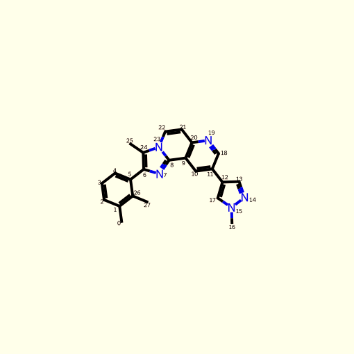 Cc1cccc(-c2nc3c4cc(-c5cnn(C)c5)cnc4ccn3c2C)c1C